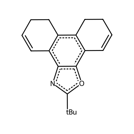 CC(C)(C)c1nc2c3c(c4c(c2o1)C=CCC4)CCC=C3